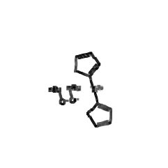 C1=CC[C]([Ti+2][C]2=CC=CC2)=C1.CCCC[O-].CCCC[O-]